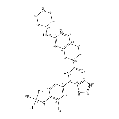 O=C(NC(c1ccc(OC(F)(F)F)c(F)c1)c1cnco1)N1CCc2cnc(NC3CCOCC3)nc2C1